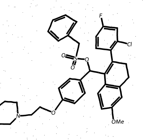 COc1ccc2c(c1)CCC(c1ccc(F)cc1Cl)=C2C(OS(=O)(=O)Cc1ccccc1)c1ccc(OCCN2CCCCC2)cc1